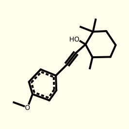 COc1ccc(C#CC2(O)C(C)CCCC2(C)C)cc1